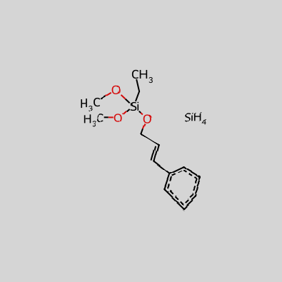 CC[Si](OC)(OC)OCC=Cc1ccccc1.[SiH4]